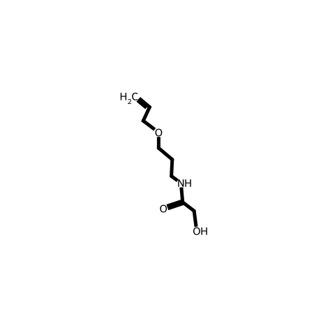 C=CCOCCCNC(=O)CO